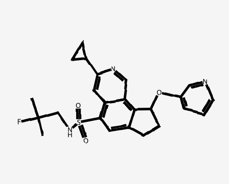 CC(C)(F)CNS(=O)(=O)c1cc2c(c3cnc(C4CC4)cc13)C(Oc1cccnc1)CC2